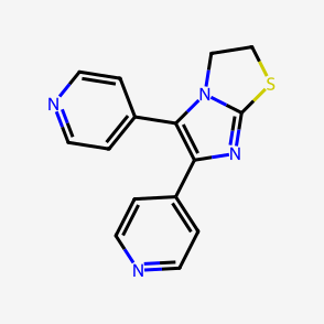 c1cc(-c2nc3n(c2-c2ccncc2)CCS3)ccn1